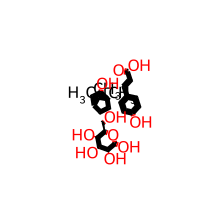 CC1(C)C2CCC1(C)C(O)C2.O=C(O)C=Cc1ccc(O)cc1.OC[C@H]1OC(O)[C@H](O)[C@@H](O)[C@@H]1O